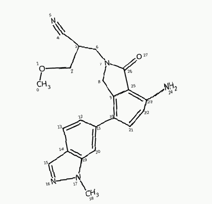 COCC(C#N)CN1Cc2c(-c3ccc4cnn(C)c4c3)ccc(N)c2C1=O